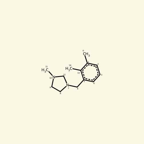 Cc1cccc(CN2CCN(C)C2)c1C